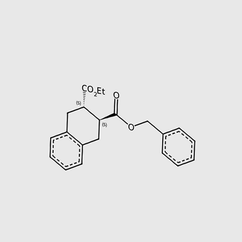 CCOC(=O)[C@H]1Cc2ccccc2C[C@@H]1C(=O)OCc1ccccc1